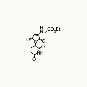 CCOC(=O)CNC1=CC(=O)N(C2CCC(=O)NC2=O)C1=O